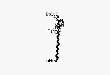 CCCCCCC=CCCCCCCCCCC(=O)Oc1c2ncnc(SCC(=O)OCC)c2nn1C